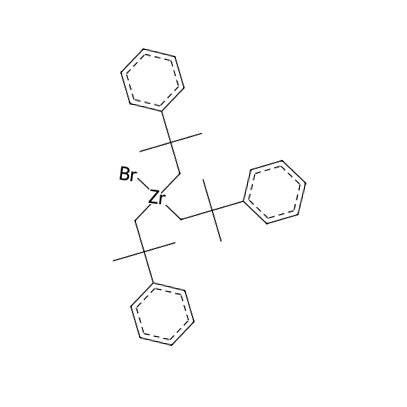 CC(C)([CH2][Zr]([Br])([CH2]C(C)(C)c1ccccc1)[CH2]C(C)(C)c1ccccc1)c1ccccc1